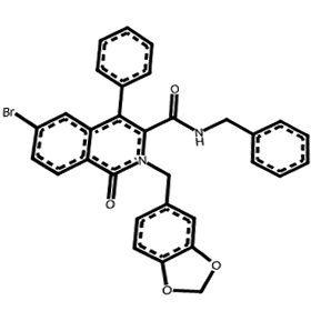 O=C(NCc1ccccc1)c1c(-c2ccccc2)c2cc(Br)ccc2c(=O)n1Cc1ccc2c(c1)OCO2